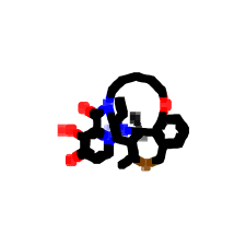 C=C/C=C\C1=C(C)SCc2cccc3c2[C@@H]1N1CN(CCCCCO3)C(=O)c2c(O)c(=O)ccn21